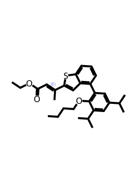 CCCCOc1c(-c2cccc3sc(/C(C)=C/C(=O)OCC)cc23)cc(C(C)C)cc1C(C)C